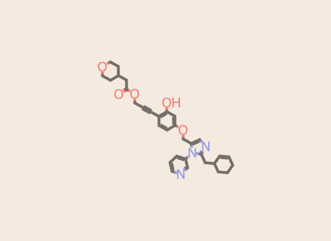 O=C(CC1CCOCC1)OCC#Cc1ccc(OCc2cnc(CC3C=CCCC3)n2-c2cccnc2)cc1O